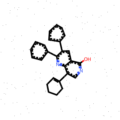 Oc1ncc(C2=CCCCC2)c2nc(-c3cc[c]cc3)c(-c3ccccc3)cc12